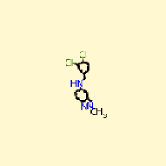 Cn1cc2cc(NCc3ccc(Cl)c(Cl)c3)ccc2n1